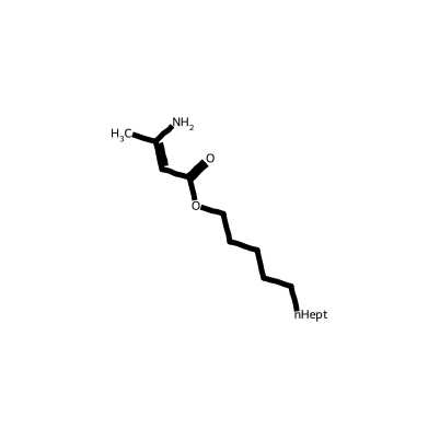 CCCCCCCCCCCCOC(=O)/C=C(/C)N